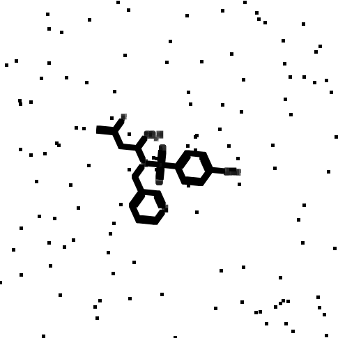 C=C(F)CC(C(=O)O)N(Cc1cccnc1)S(=O)(=O)c1ccc(OC)cc1